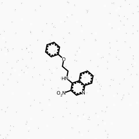 O=[N+]([O-])c1cnc2ccccc2c1NCCOc1ccccc1